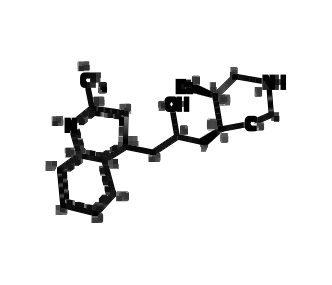 CC[C@H]1CNCC[C@H]1CC(O)Cc1cc(C(F)(F)F)nc2ccccc12